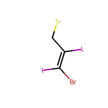 [S]CC(I)=C(Br)I